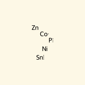 [Co].[Ni].[P].[Sn].[Zn]